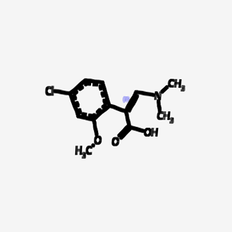 COc1cc(Cl)ccc1/C(=C/N(C)C)C(=O)O